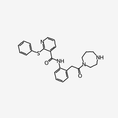 O=C(Nc1ccccc1CC(=O)N1CCCNCC1)c1cccnc1Sc1ccccc1